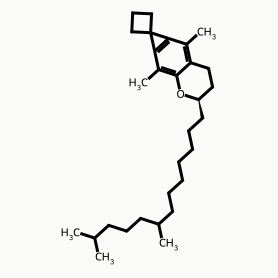 Cc1c2c(c(C)c3c1C31CCC1)O[C@H](CCCCCCCC(C)CCCC(C)C)CC2